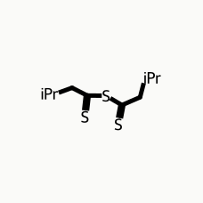 CC(C)CC(=S)SC(=S)CC(C)C